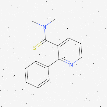 CN(C)C(=S)c1cccnc1-c1ccccc1